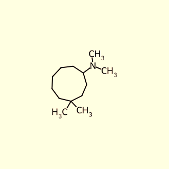 CN(C)C1CCCCCC(C)(C)CC1